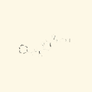 CCOC(=O)C1=CCC(C(=O)OCc2ccccc2)OC1